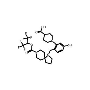 O=C(O)C1CCN(c2cc(S)ccc2CN2CCCC23CCN(C(=O)OC(C(F)(F)F)C(F)(F)F)CC3)CC1